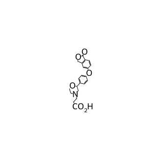 O=C(O)CCN1CCOC(c2ccc(Oc3ccc4c(c3)COC4=O)cc2)C1